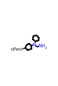 CCCCCc1ccc(N(CN)c2ccccc2)cc1